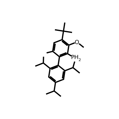 COc1c(C(C)(C)C)cc(C)c(-c2c(C(C)C)cc(C(C)C)cc2C(C)C)c1P